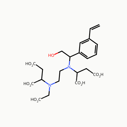 C=Cc1cccc(C(CO)N(CCN(CC(=O)O)C(CC(=O)O)C(=O)O)C(CC(=O)O)C(=O)O)c1